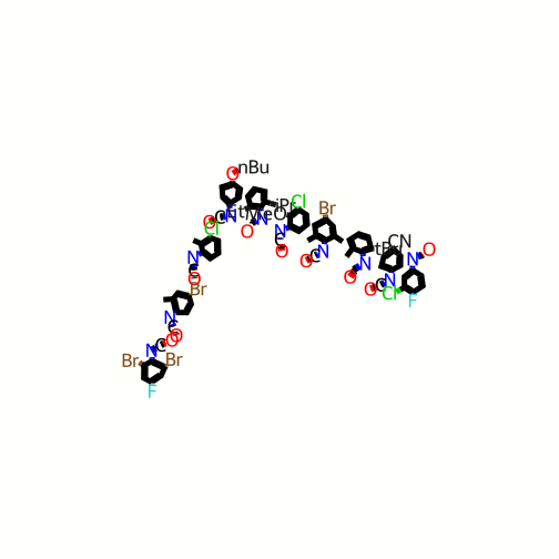 CCCCOc1ccc(N=C=O)cc1.CCc1cccc(C(C)C)c1N=C=O.COc1c(Cl)cccc1N=C=O.Cc1c(Cl)cccc1N=C=O.Cc1cc(Br)cc(C)c1N=C=O.Cc1cc(Br)ccc1N=C=O.Cc1cccc(C(C)(C)C)c1N=C=O.N#Cc1ccc(N=C=O)cc1.O=C=Nc1c(Br)cc(F)cc1Br.O=C=Nc1ccc(F)c(Cl)c1